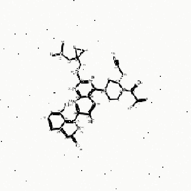 C=C(F)C(=O)N1CCN(c2nc(OCC3(CN(C)C)CC3)nc3nc(-c4[nH]c(=O)cc5cccc(Cl)c45)c(F)cc23)C[C@@H]1CC#N